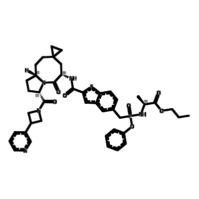 CCCOC(=O)[C@H](C)NP(=O)(Cc1ccc2sc(C(=O)N[C@H]3CC4(CC[C@H]5CC[C@@H](C(=O)N6CC(c7cccnc7)C6)N5C3=O)CC4)cc2c1)Oc1ccccc1